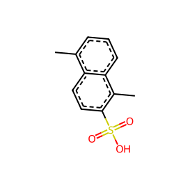 Cc1cccc2c(C)c(S(=O)(=O)O)ccc12